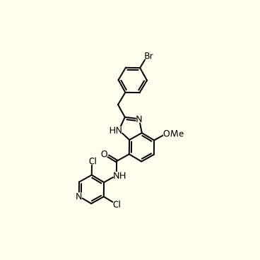 COc1ccc(C(=O)Nc2c(Cl)cncc2Cl)c2[nH]c(Cc3ccc(Br)cc3)nc12